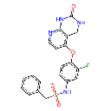 O=C1NCc2c(Oc3ccc(NS(=O)(=O)Cc4ccccc4)cc3F)ccnc2N1